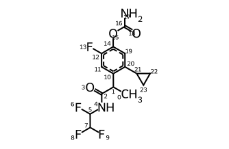 CC(C(=O)NC(F)C(F)F)c1cc(F)c(OC(N)=O)cc1C1CC1